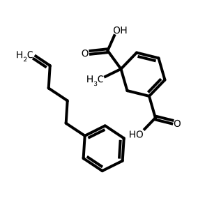 C=CCCCc1ccccc1.CC1(C(=O)O)C=CC=C(C(=O)O)C1